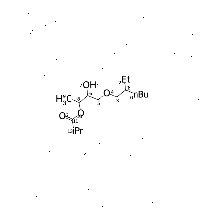 CCCCC(CC)COCC(O)C(C)OC(=O)C(C)C